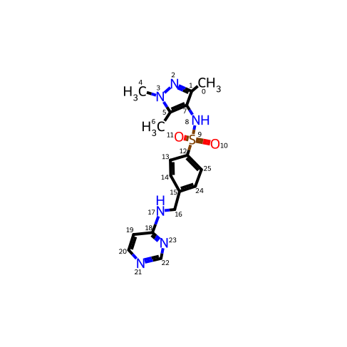 Cc1nn(C)c(C)c1NS(=O)(=O)c1ccc(CNc2ccncn2)cc1